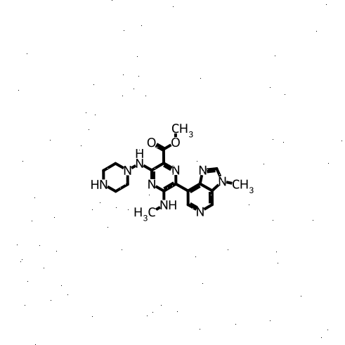 CNc1nc(NN2CCNCC2)c(C(=O)OC)nc1-c1cncc2c1ncn2C